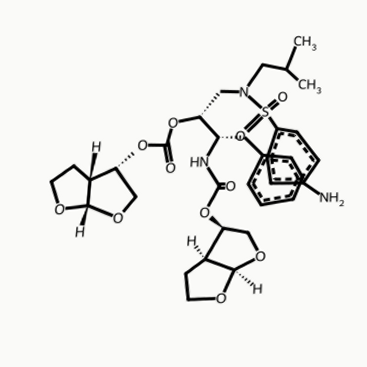 CC(C)CN(C[C@@H](OC(=O)O[C@@H]1CO[C@@H]2OCC[C@@H]21)[C@H](Cc1ccccc1)NC(=O)O[C@H]1CO[C@H]2OCC[C@H]21)S(=O)(=O)c1ccc(N)cc1